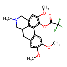 COc1cc2c(cc1OC)-c1c(OC(=O)C(F)(F)F)c(OC)cc3c1C(C2)CN(C)C3